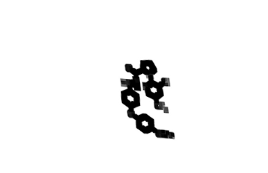 COc1ccc(Oc2ccc(NNC(=O)c3cccn3-c3ncc(C(F)(F)F)cc3Cl)cc2)cc1